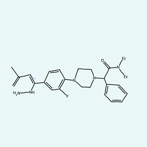 C=C(C)/C=C(\NN)c1ccc(N2CCN(C(C(=O)N(CC)CC)c3ccccc3)CC2)c(F)c1